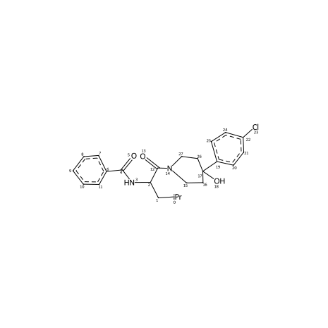 CC(C)CC(NC(=O)c1ccccc1)C(=O)N1CCC(O)(c2ccc(Cl)cc2)CC1